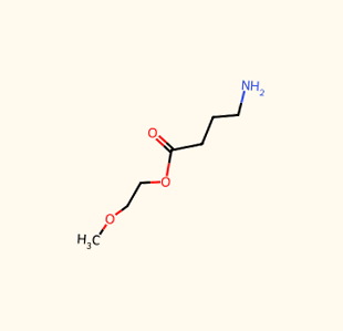 COCCOC(=O)CCCN